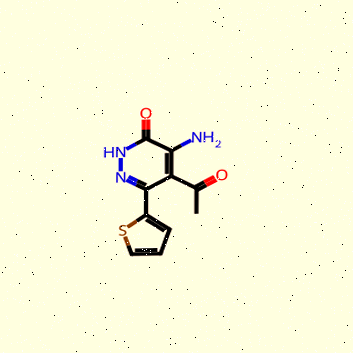 CC(=O)c1c(-c2cccs2)n[nH]c(=O)c1N